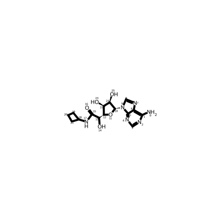 Nc1ncnc2c1ncn2[C@@H]1O[C@H](C(O)C(=O)NC2CCC2)[C@@H](O)[C@H]1O